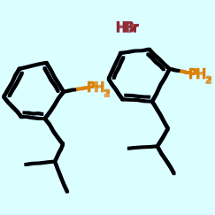 Br.CC(C)Cc1ccccc1P.CC(C)Cc1ccccc1P